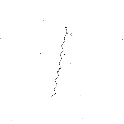 CCCCCC/C=C/CCCCCCCC(=O)Cl